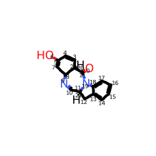 O=C1[C@H]2C=CC(O)=CC2N=C[C@@H]2Cc3ccccc3N12